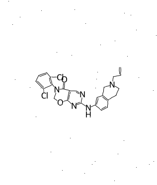 C=CCN1CCc2ccc(Nc3ncc4c(n3)OCN(c3c(Cl)cccc3Cl)C4=O)cc2C1